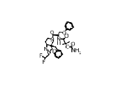 CC(C)(OC(N)=O)C(=O)N[C@H](COc1ccccc1)C(=O)N1CCC2=NN(CC(F)F)C(=O)C2(Cc2ccccc2)C1